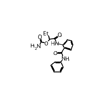 CCC(OC(N)=O)C(=O)Nc1ccccc1C(=O)Nc1ccccc1